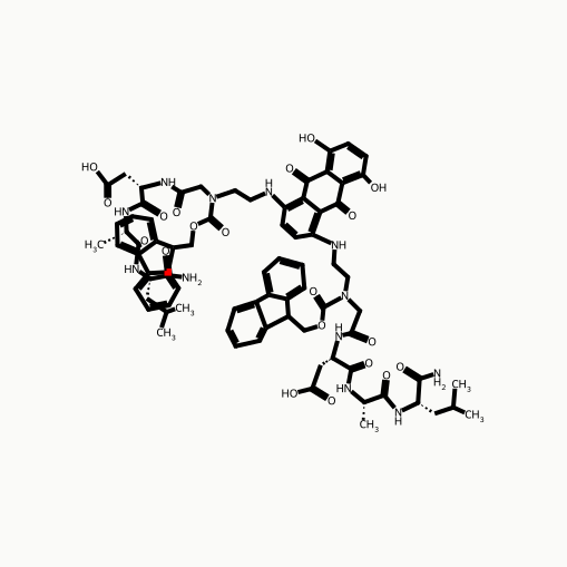 CC(C)C[C@H](NC(=O)[C@H](C)NC(=O)[C@H](CC(=O)O)NC(=O)CN(CCNc1ccc(NCCN(CC(=O)N[C@@H](CC(=O)O)C(=O)N[C@@H](C)C(=O)N[C@@H](CC(C)C)C(N)=O)C(=O)OCC2c3ccccc3-c3ccccc32)c2c1C(=O)c1c(O)ccc(O)c1C2=O)C(=O)OCC1c2ccccc2-c2ccccc21)C(N)=O